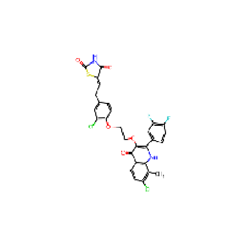 Cc1c(Cl)ccc2c(=O)c(OCCOc3ccc(CC=C4SC(=O)NC4=O)cc3Cl)c(-c3ccc(F)c(F)c3)[nH]c12